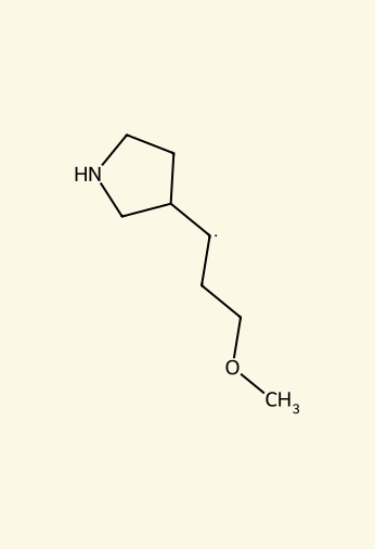 COCC[CH]C1CCNC1